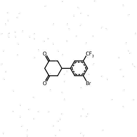 O=C1CC(=O)CC(c2cc(Br)cc(C(F)(F)F)c2)C1